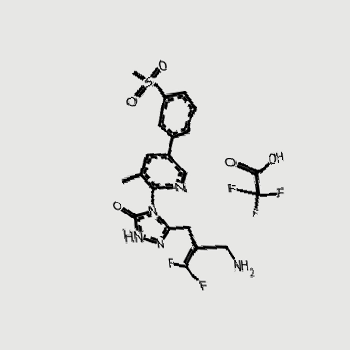 Cc1cc(-c2cccc(S(C)(=O)=O)c2)cnc1-n1c(CC(CN)=C(F)F)n[nH]c1=O.O=C(O)C(F)(F)F